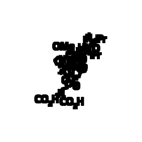 CC[C@H](C)[C@@H]([C@@H](CC(=O)N1CCC[C@H]1[C@H](OC)[C@@H](C)C(=O)N[C@@H](Cc1ccccc1)C(=O)OCCN(CC(=O)O)CC(=O)O)OC)N(C)C(=O)[C@@H](NC(=O)[C@H](C(C)C)N(C)I)C(C)C